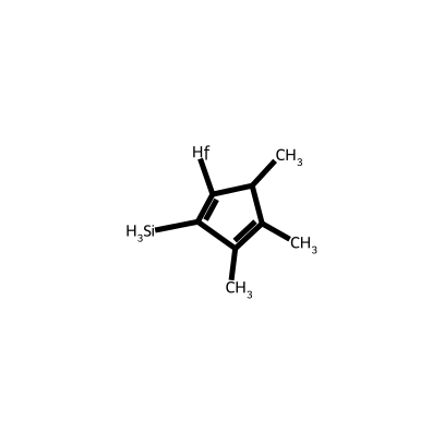 CC1=C(C)C(C)[C]([Hf])=C1[SiH3]